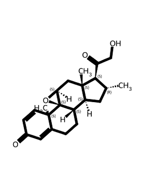 C[C@@H]1C[C@H]2[C@@H]3CCC4=CC(=O)C=C[C@]4(C)[C@@]34O[C@H]4C[C@]2(C)[C@H]1C(=O)CO